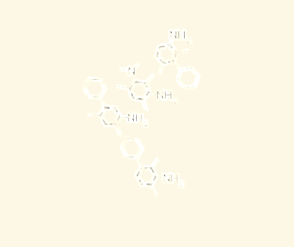 Cc1cc(C)c(C2CCCCC2)cc1N.Cc1cc(C)c(N(C)C)c(C)c1N.Cc1ccc(C2CCCCC2)c(C)c1N.Cc1ccc(N)c(C)c1C1CCCCC1